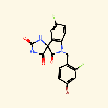 O=C1NC(=O)C2(N1)C(=O)N(Cc1ccc(Br)cc1F)c1ccc(F)cc12